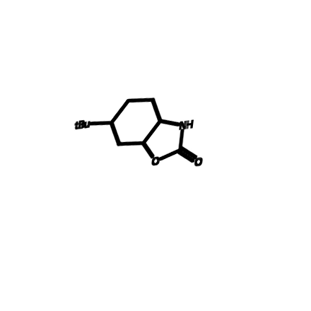 CC(C)(C)C1CCC2NC(=O)OC2C1